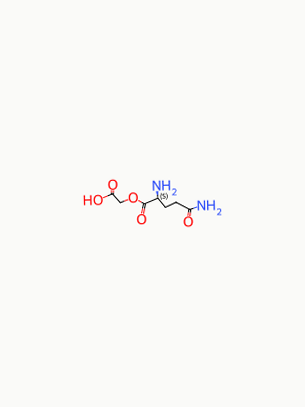 NC(=O)CC[C@H](N)C(=O)OCC(=O)O